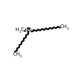 CCCCCCCCCCCCCCCC[n+]1ccn(CC)c1CCCCCCCCCCCCC